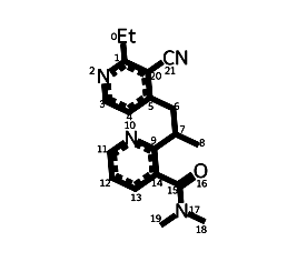 CCc1nccc(CC(C)c2ncccc2C(=O)N(C)C)c1C#N